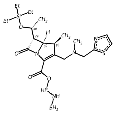 BNPOC(=O)C1=C(CN(C)Cc2nccs2)[C@H](C)[C@@H]2[C@@H]([C@@H](C)O[Si](CC)(CC)CC)C(=O)N12